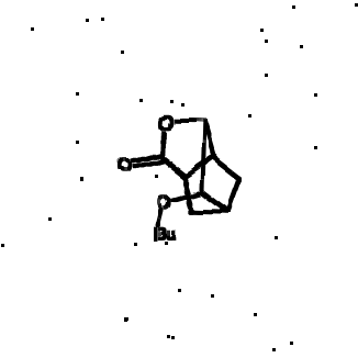 CCC(C)OC1C2CC3C(=O)OC1C3C2